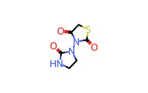 O=C1NCCN1N1C(=O)CSC1=O